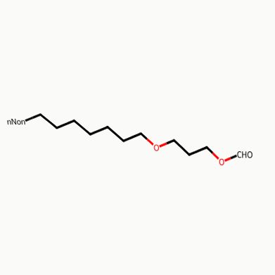 CCCCCCCCCCCCCCCCOCCCOC=O